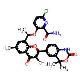 Cc1cc([C@@H](C)Oc2ccc(Cl)nc2C(N)=O)c2oc(-c3ccc4c(c3)C(C)(C)OC(=O)N4)c(C)c(=O)c2c1